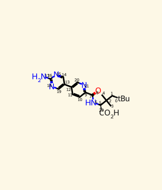 CC(C)(C)CC(C)(C)[C@H](NC(=O)c1ccc(-c2cnc(N)nc2)cn1)C(=O)O